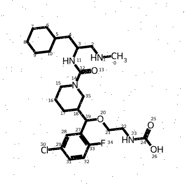 CNCC(CC1CCCCC1)NC(=O)N1CCCC(C(OCCNC(=O)O)c2cc(Cl)ccc2F)C1